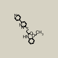 CCOc1ccccc1NC(=O)CSc1ccc(-c2ccncc2)nn1